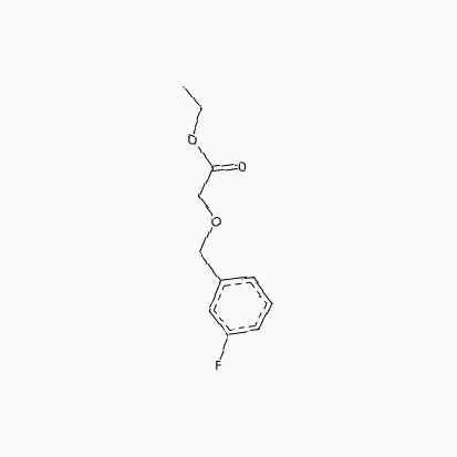 CCOC(=O)COCc1cccc(F)c1